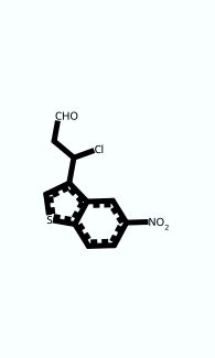 O=CCC(Cl)c1csc2ccc([N+](=O)[O-])cc12